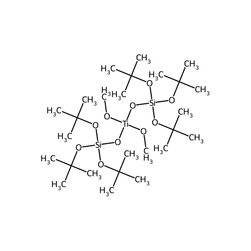 C[O][Ti]([O]C)([O][Si](OC(C)(C)C)(OC(C)(C)C)OC(C)(C)C)[O][Si](OC(C)(C)C)(OC(C)(C)C)OC(C)(C)C